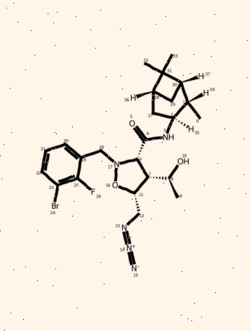 C[C@@H]1[C@@H](NC(=O)[C@@H]2[C@H]([C@H](C)O)[C@H](CN=[N+]=[N-])ON2Cc2cccc(Br)c2F)C[C@H]2C[C@@H]1C2(C)C